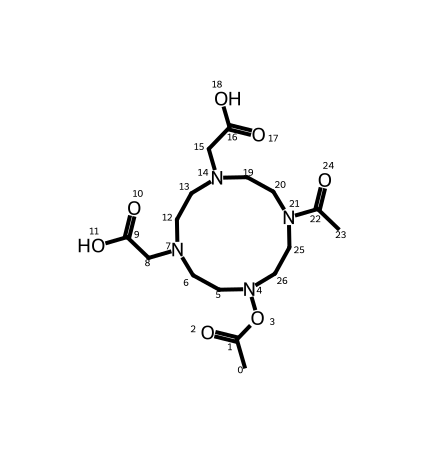 CC(=O)ON1CCN(CC(=O)O)CCN(CC(=O)O)CCN(C(C)=O)CC1